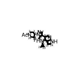 CC(=O)N1CC[C@H](n2ncc(-c3cnc4[nH]ccc4c3NC3CC3)c2C)[C@@H](F)C1